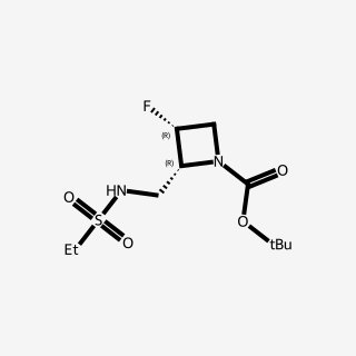 CCS(=O)(=O)NC[C@@H]1[C@H](F)CN1C(=O)OC(C)(C)C